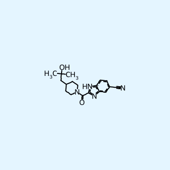 CC(C)(O)CC1CCN(C(=O)c2nc3cc(C#N)ccc3[nH]2)CC1